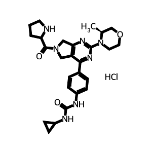 C[C@H]1COCCN1c1nc2c(c(-c3ccc(NC(=O)NC4CC4)cc3)n1)CN(C(=O)C1CCCN1)C2.Cl